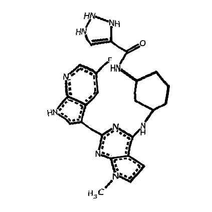 Cn1ccc2c(NC3CCCC(NC(=O)C4=CNNN4)C3)nc(-c3c[nH]c4ncc(F)cc34)nc21